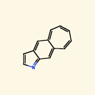 c1ccc2cc3ccnc3cc2cc1